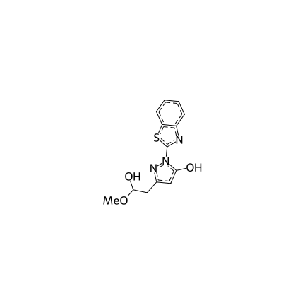 COC(O)Cc1cc(O)n(-c2nc3ccccc3s2)n1